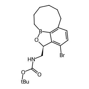 CC(C)(C)OC(=O)NC[C@H]1OB2CCCCCCc3ccc(Br)c1c32